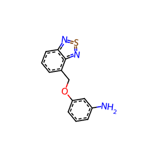 Nc1cccc(OCc2cccc3nsnc23)c1